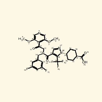 COc1cncc(OC)c1C(=O)CN(Cc1cc(F)cc(F)c1)C(=O)c1cnn([C@H]2CC[C@H](C(=O)O)CC2)c1C(F)(F)F